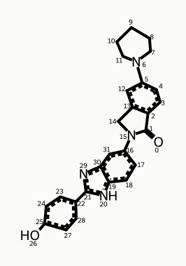 O=C1c2ccc(N3CCCCC3)cc2CN1c1ccc2[nH]c(-c3ccc(O)cc3)nc2c1